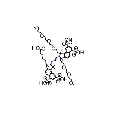 COCCOCCOCCOCCC1(C)c2c(ccc3c(S(=O)(=O)O)cc(S(=O)(=O)O)cc23)N(CCOCCOCCOC)C1/C=C/C=C1/N(CCCCCC(=O)O)c2ccc3c(S(=O)(=O)O)cc(S(=O)(=O)O)cc3c2C1(C)C